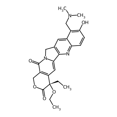 CCO[C@]1(CC)C(=O)OCc2c1cc1n(c2=O)Cc2cc3c(CN(C)C)c(O)ccc3nc2-1